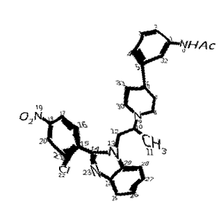 CC(=O)Nc1cccc(C2CCN(C(C)Cn3c(-c4ccc([N+](=O)[O-])cc4Cl)nc4ccccc43)CC2)c1